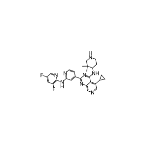 CC1(C)CNCCC1Nc1nc(-c2ccnc(Nc3ncc(F)cc3F)c2)nc2cncc(C3CC3)c12